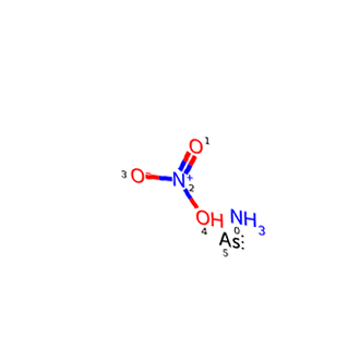 N.O=[N+]([O-])O.[As]